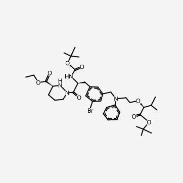 CCOC(=O)[C@@H]1CCCN(C(=O)[C@H](Cc2cc(Br)cc(CN(CCO[C@H](C(=O)OC(C)(C)C)C(C)C)c3ccccc3)c2)NC(=O)OC(C)(C)C)N1